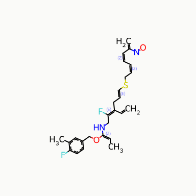 C=C/C(C/C=C/SC/C=C\C=C/C(=C)N=O)=C(/F)CN/C(=C/C)OCc1ccc(F)c(C)c1